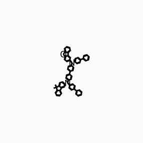 CC1(C)c2ccccc2-c2cc(N(c3ccc(-c4ccccc4)cc3)c3ccc(-c4ccc(N(c5ccc(-c6ccccc6)cc5)c5ccc6oc7ccccc7c6c5)cc4)cc3)ccc21